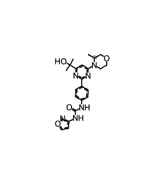 C[C@H]1COCCN1c1cc(C(C)(C)O)nc(-c2ccc(NC(=O)Nc3ccon3)cc2)n1